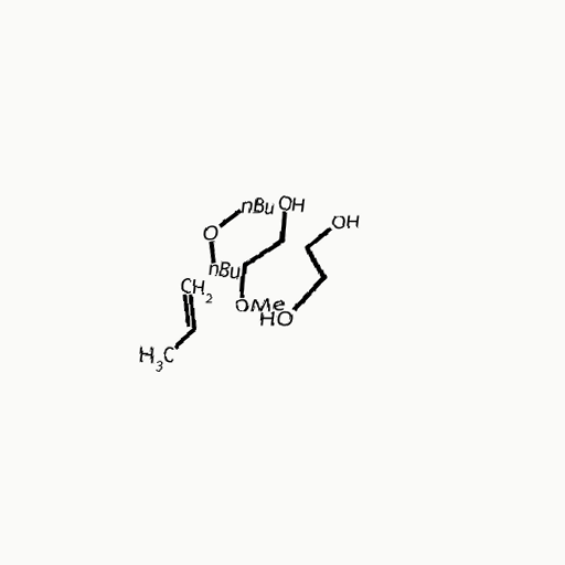 C=CC.CCCCOCCCC.COCCO.OCCO